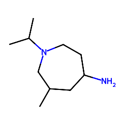 CC1CC(N)CCN(C(C)C)C1